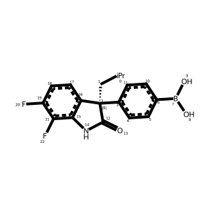 CC(C)C[C@]1(c2ccc(B(O)O)cc2)C(=O)Nc2c1ccc(F)c2F